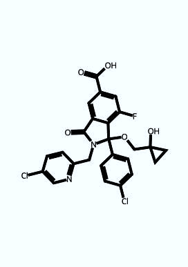 O=C(O)c1cc(F)c2c(c1)C(=O)N(Cc1ccc(Cl)cn1)C2(OCC1(O)CC1)c1ccc(Cl)cc1